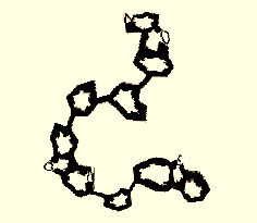 c1cc(-c2cccc(-c3ccc4oc5ccc(-c6cccc(-c7ccc8sc9ccccc9c8c7)c6)nc5c4c3)c2)cc(-c2ccc3oc4ccncc4c3c2)c1